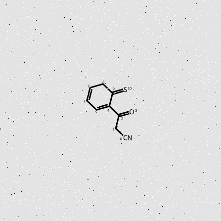 N#CCC(=O)C1=CC=CCC1=S